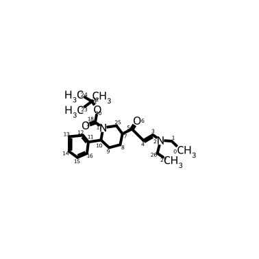 CCN(C=CC(=O)C1CCC(c2ccccc2)N(C(=O)OC(C)(C)C)C1)CC